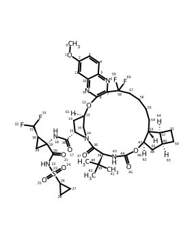 COc1ccc2nc3c(nc2c1)O[C@@H]1C[C@@H](C(=O)N[C@]2(C(=O)NS(=O)(=O)C4CC4)C[C@H]2C(F)F)N(C1)C(=O)[C@H](C(C)(C)C)NC(=O)O[C@@H]1C[C@@H]2CC[C@@H]2[C@H]1CCCCC3(F)F